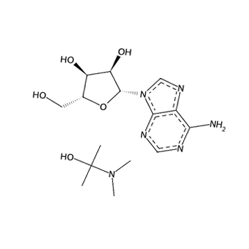 CN(C)C(C)(C)O.Nc1ncnc2c1ncn2[C@@H]1O[C@H](CO)[C@@H](O)[C@H]1O